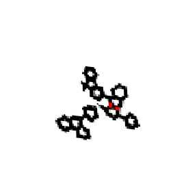 CC1(C)c2ccccc2-c2cc(-c3cccc4c3CCCC4)c(N(c3ccc(-c4ccccc4)cc3)c3ccc(-c4cc5ccccc5c5ccccc45)cc3)cc21